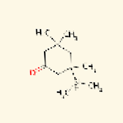 C[SiH](C)C1(C)CC(=O)CC(C)(C)C1